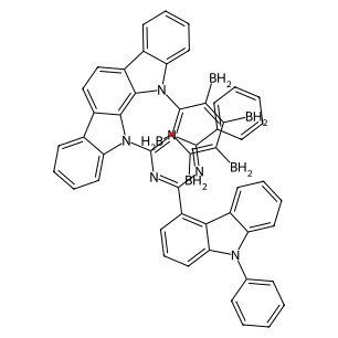 Bc1c(B)c(B)c(-n2c3ccccc3c3ccc4c5ccccc5n(-c5nc(-c6ccccc6)nc(-c6cccc7c6c6ccccc6n7-c6ccccc6)n5)c4c32)c(B)c1B